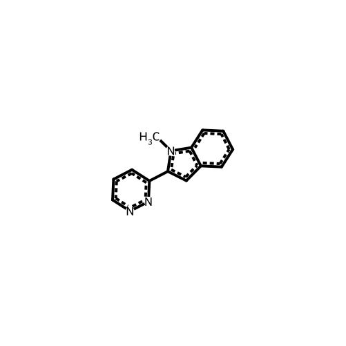 Cn1c(-c2cccnn2)cc2ccccc21